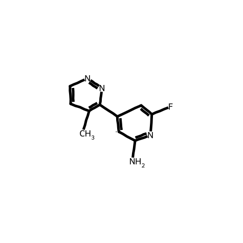 Cc1ccnnc1-c1[c]c(N)nc(F)c1